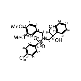 COc1ccc(CN(C[C@@](O)(CO)c2ccccc2)S(=O)(=O)c2ccc(Cl)cc2)cc1OC